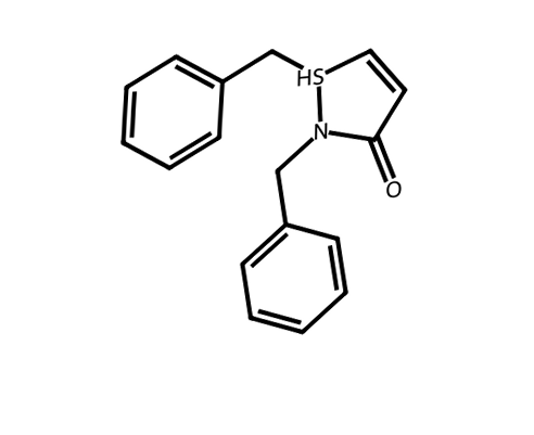 O=C1C=C[SH](Cc2ccccc2)N1Cc1ccccc1